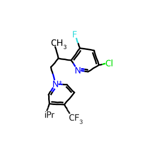 CC(C)c1c[n+](CC(C)c2ncc(Cl)cc2F)ccc1C(F)(F)F